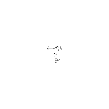 [Cu].[Ni].[PH2][Zn]